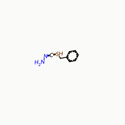 NN=C=[SH]Cc1ccccc1